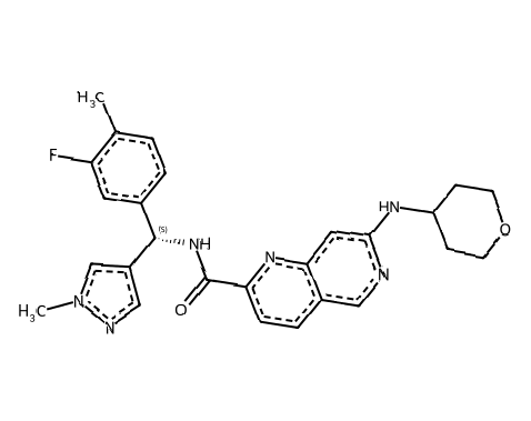 Cc1ccc([C@H](NC(=O)c2ccc3cnc(NC4CCOCC4)cc3n2)c2cnn(C)c2)cc1F